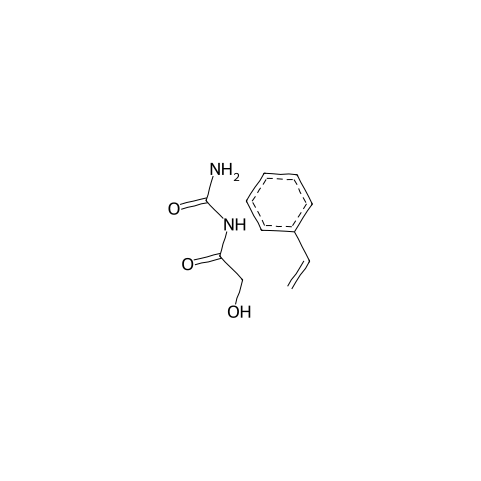 C=Cc1ccccc1.NC(=O)NC(=O)CO